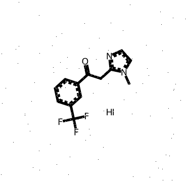 Cn1ccnc1CC(=O)c1cccc(C(F)(F)F)c1.I